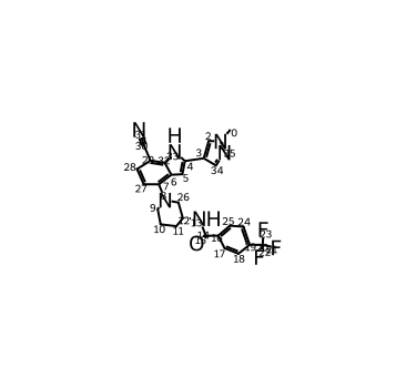 Cn1cc(-c2cc3c(N4CCC[C@@H](NC(=O)c5ccc(C(F)(F)F)cc5)C4)ccc(C#N)c3[nH]2)cn1